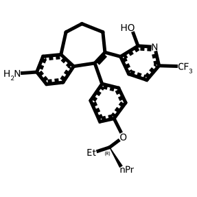 CCC[C@@H](CC)Oc1ccc(C2=C(c3ccc(C(F)(F)F)nc3O)CCCc3cc(N)ccc32)cc1